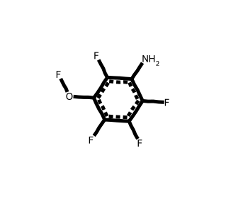 Nc1c(F)c(F)c(F)c(OF)c1F